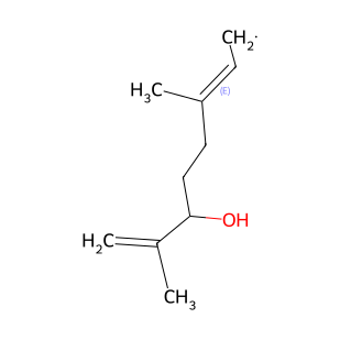 [CH2]/C=C(\C)CCC(O)C(=C)C